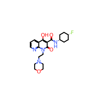 O=C(N[C@H]1CC[C@@H](F)CC1)c1c(O)c2cccnc2n(CCN2CCOCC2)c1=O